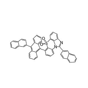 O=S1(=O)c2c(-c3c4ccccc4c(-c4ccc5ccccc5c4)c4ccccc34)cccc2-n2c(-c3ccc4ccccc4c3)nc3cccc1c32